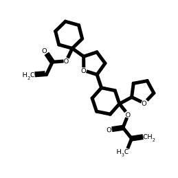 C=CC(=O)OC1(C2CCC(C3CCCC(OC(=O)C(=C)C)(C4CCCO4)C3)O2)CCCCC1